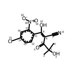 CC(C)(O)C(=O)C(C#N)=C(O)c1ccc(Cl)cc1[N+](=O)[O-]